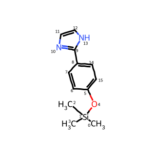 C[Si](C)(C)Oc1ccc(-c2ncc[nH]2)cc1